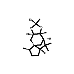 CC[C@]1(C)O[C@H]2C[C@@]34C[C@H](C(C)(C)[C@@H]3CC[C@H]4C)[C@@]2(C)O1